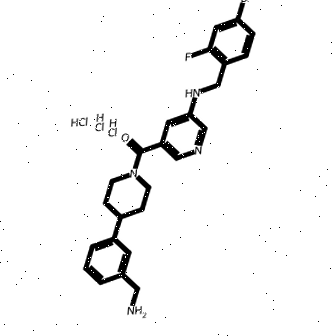 Cl.Cl.Cl.NCc1cccc(C2CCN(C(=O)c3cncc(NCc4ccc(Br)cc4F)c3)CC2)c1